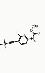 CN(C(=O)OC(C)(C)C)c1ccc(C#C[Si](C)(C)C)c(F)n1